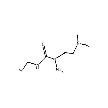 CC(=O)CNC(=O)N(N)CCN(C)C